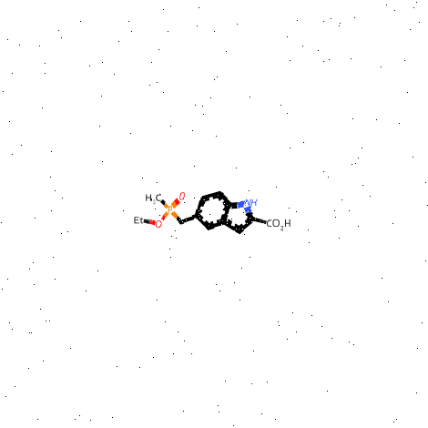 CCOP(C)(=O)Cc1ccc2[nH]c(C(=O)O)cc2c1